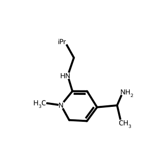 CC(C)CNC1=CC(C(C)N)=CCN1C